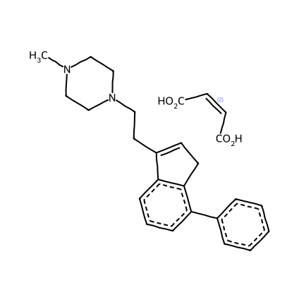 CN1CCN(CCC2=CCc3c2cccc3-c2ccccc2)CC1.O=C(O)/C=C\C(=O)O